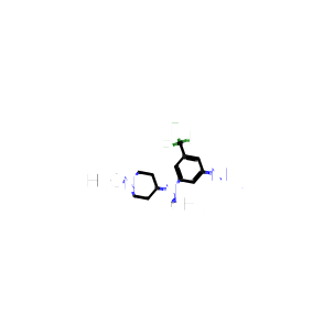 CN1CCC(N(C)c2cc(N)cc(C(F)(F)F)c2)CC1